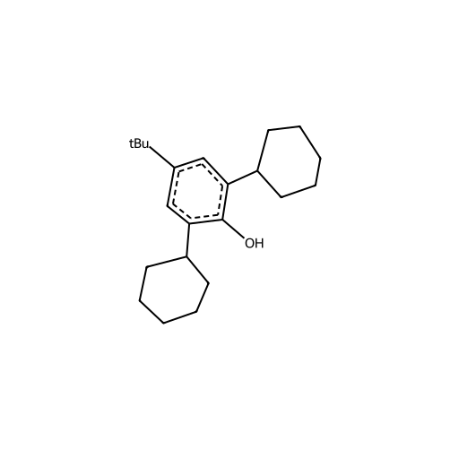 CC(C)(C)c1cc(C2CCCCC2)c(O)c(C2CCCCC2)c1